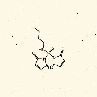 CCCCNP(=S)(N1C(=O)C=CC1=O)N1C(=O)C=CC1=O